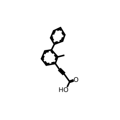 Cc1c(C#CC(=O)O)cccc1-c1ccccc1